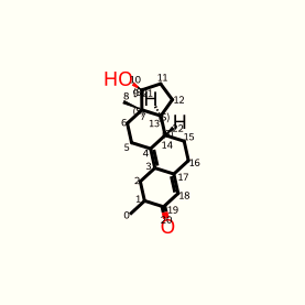 CC1CC2=C3CC[C@]4(C)[C@@H](O)CC[C@H]4[C@@H]3CCC2=CC1=O